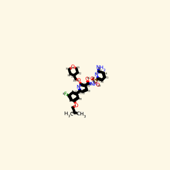 CC(C)COc1cc(F)cc(-c2ccc(C(=O)NS(=O)(=O)c3cccc(N)n3)c(OCC3CCOCC3)n2)c1